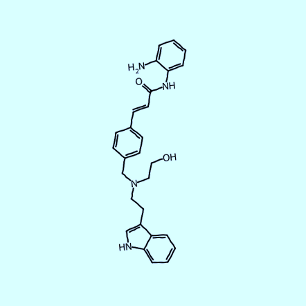 Nc1ccccc1NC(=O)C=Cc1ccc(CN(CCO)CCc2c[nH]c3ccccc23)cc1